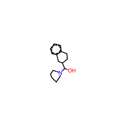 OC(C1CCc2ccccc2C1)N1CCCCC1